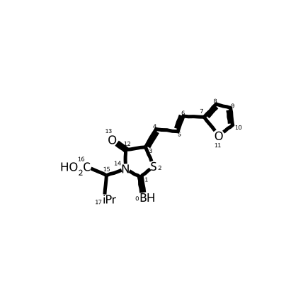 B=c1s/c(=C\C=C\c2ccco2)c(=O)n1C(C(=O)O)C(C)C